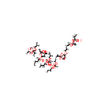 CCCCOC(C)(O)OCC.CCCCOC(C)(O)OCCC.CCCCOC(CCC)OC(C)O.CCCOC(CC)OC(O)CC.CCCOC(O)(CC)OCC.CCOC(C)OC(O)CC